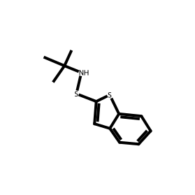 CC(C)(C)NSc1cc2ccccc2s1